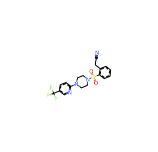 N#CCc1ccccc1S(=O)(=O)N1CCN(c2ccc(C(F)(F)F)cn2)CC1